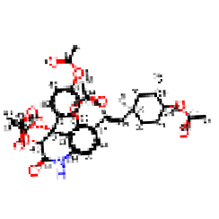 CC(=O)Oc1ccc([C@]2(OC(C)=O)c3c(ccc(/C=C/[C@]4(C)CC[C@H](OC(C)=O)[C@@H](C)C4)c3OC(C)=O)NC(=O)[C@H]2OC(C)=O)cc1